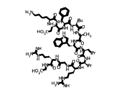 CC[C@H](C)[C@H](NC(=O)[C@H](Cc1ccccc1)NC(=O)[C@H](CCC(=O)O)NC(=O)[C@@H](N)CCCCN)C(=O)N[C@@H](C)C(=O)N[C@@H](Cc1c[nH]c2ccccc12)C(=O)N[C@@H](CC(C)C)C(=O)N[C@H](C(=O)N[C@@H](CCCNC(=N)N)C(=O)NCC(=O)N[C@@H](CCCNC(=N)N)C(=O)NCC(=O)O)C(C)C